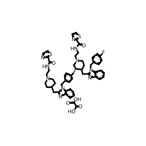 O=C(NCCN1CCC(Cc2nc3ccccc3n2Cc2ccc(F)cc2)CC1)c1nccs1.O=C(NCCN1CCC(Cc2nc3ccccc3n2Cc2ccc(F)cc2)CC1)c1nccs1.O=C(O)C(=O)O